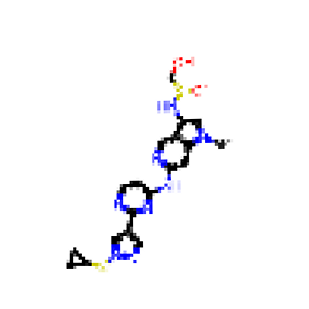 CC(C)n1cc(N[S+]([O-])CO)c2cnc(Nc3ccnc(-c4cnn(SC5CC5)c4)n3)cc21